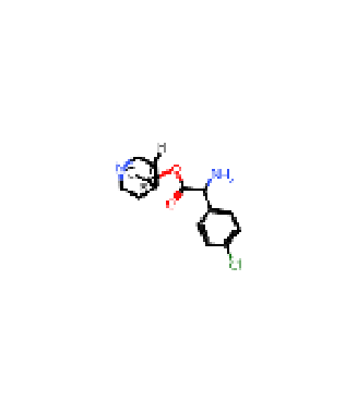 NC(C(=O)O[C@H]1CN2CCC1CC2)c1ccc(Cl)cc1